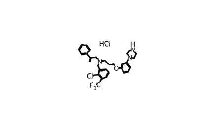 CC(CN(CCCOc1cccc(N2CCNCC2)c1)Cc1cccc(C(F)(F)F)c1Cl)c1ccccc1.Cl